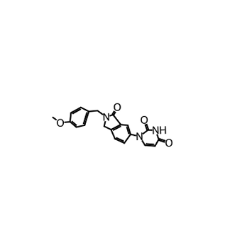 COc1ccc(CN2Cc3ccc(-n4ccc(=O)[nH]c4=O)cc3C2=O)cc1